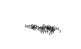 CN1CCN(C)c2ncc(S(=O)(=O)N3CCC4(CC3)C[C@@H](NC[C@H](O)COc3cccc(S(=O)(=O)C5(CO)CC5)c3)CO4)cc21